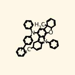 CC1C=Cc2c(c3c(N(c4ccccc4)c4ccc(-c5ccccc5)cc4)cc4c(c3n2-c2ccccc2)OC2C=CC=CC42C)C1